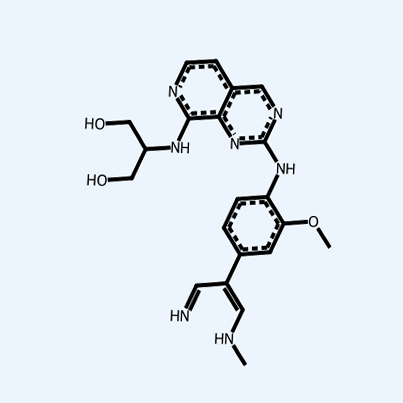 CN/C=C(\C=N)c1ccc(Nc2ncc3ccnc(NC(CO)CO)c3n2)c(OC)c1